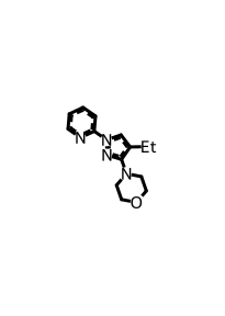 CCc1cn(-c2ccccn2)nc1N1CCOCC1